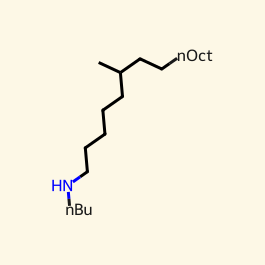 CCCCCCCCCCC(C)CCCCCNCCCC